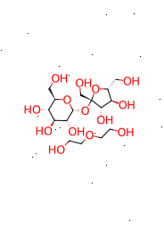 OCCOCCO.OC[C@H]1O[C@@](CO)(O[C@H]2O[C@H](CO)[C@@H](O)[C@H](O)[C@H]2O)[C@@H](O)[C@@H]1O